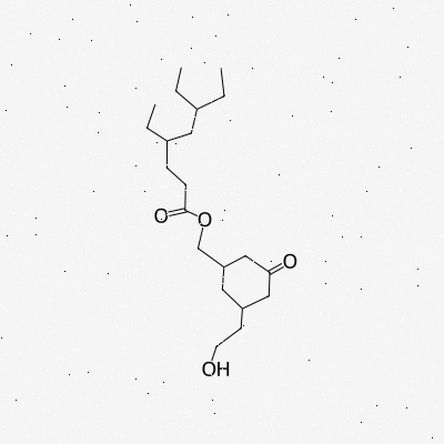 CCC(CC)CC(CC)CCC(=O)OCC1CC(=O)CC(CCO)C1